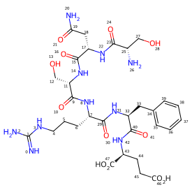 N=C(N)NCCC[C@H](NC(=O)[C@H](CO)NC(=O)[C@H](CC(N)=O)NC(=O)[C@@H](N)CO)C(=O)N[C@@H](Cc1ccccc1)C(=O)N[C@@H](CCC(=O)O)C(=O)O